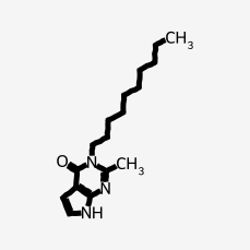 CCCCCCCCCCn1c(C)nc2[nH]ccc2c1=O